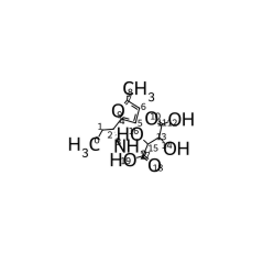 CC[C@@H](N)c1ccc(C)o1.O=C(O)C(O)C(O)C(=O)O